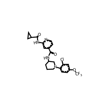 O=C(NC1CCCN(c2ccc(OC(F)(F)F)cc2Cl)C1)c1ccnc(NC(=O)C2CC2)c1